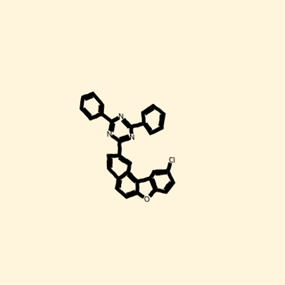 Clc1ccc2oc3ccc4ccc(-c5nc(-c6ccccc6)nc(-c6ccccc6)n5)cc4c3c2c1